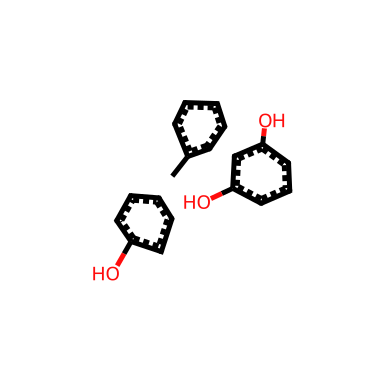 Cc1ccccc1.Oc1cccc(O)c1.Oc1ccccc1